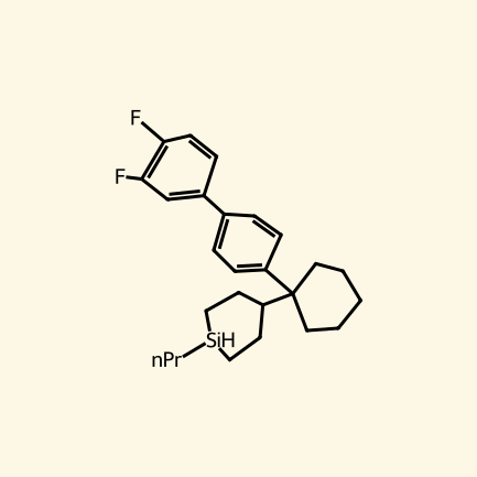 CCC[SiH]1CCC(C2(c3ccc(-c4ccc(F)c(F)c4)cc3)CCCCC2)CC1